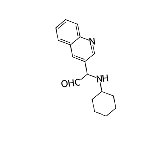 O=CC(NC1CCCCC1)c1cnc2ccccc2c1